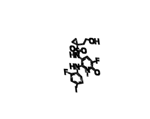 Cn1c(Nc2ccc(I)cc2F)c(NS(=O)(=O)C2(CCO)CC2)cc(F)c1=O